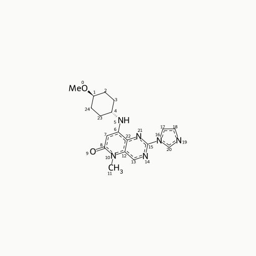 CO[C@H]1CC[C@H](Nc2cc(=O)n(C)c3cnc(-n4ccnc4)nc23)CC1